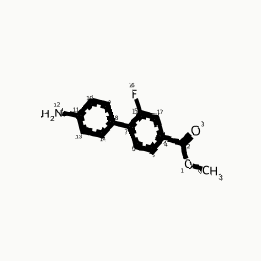 COC(=O)c1ccc(-c2ccc(N)cc2)c(F)c1